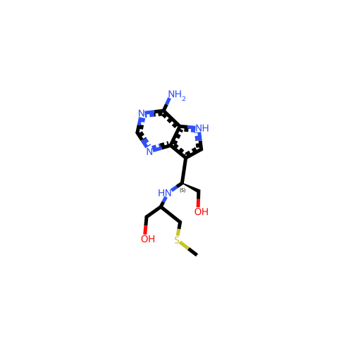 CSCC(CO)N[C@H](CO)c1c[nH]c2c(N)ncnc12